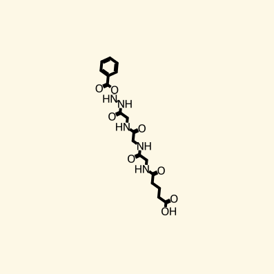 O=C(O)CCCC(=O)NCC(=O)NCC(=O)NCC(=O)NNOC(=O)c1ccccc1